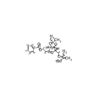 CC1(C)O[C@@H]2[C@H](O1)[C@@H](CO[Si](C)(C)C(C)(C)C)O[C@H]2CCOC(=O)c1ccccc1